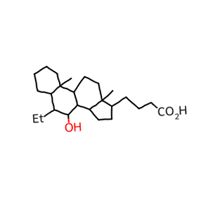 CCC1C(O)C2C3CCC(CCCC(=O)O)C3(C)CCC2C2(C)CCCCC12